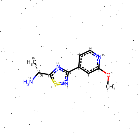 COc1cc(-c2nsc([C@@H](C)N)n2)ccn1